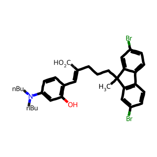 CCCCN(CCCC)c1ccc(C=C(CCCC2(C)c3cc(Br)ccc3-c3ccc(Br)cc32)C(=O)O)c(O)c1